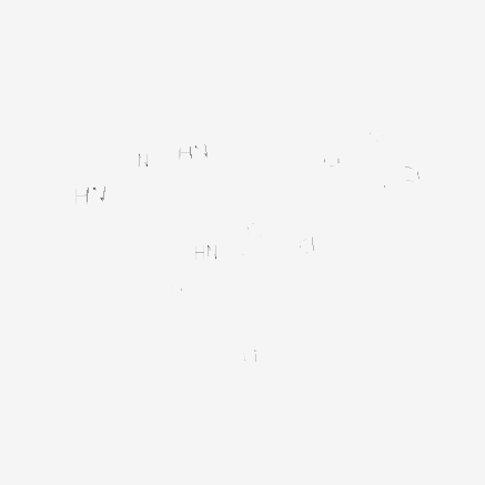 CCC(C)(C)C(=O)OCc1ccc(Nc2cc(NC(=O)c3cc(Cl)ccc3Cl)c3c4c2N=CNC4c2ccccc2C3=O)cc1